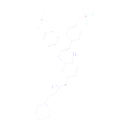 O=C(NCCN1CCOCC1)c1ccc2nc(-c3ccc(OC(F)(F)F)cc3)c(-c3ccc(OC(F)(F)F)cc3)nc2c1